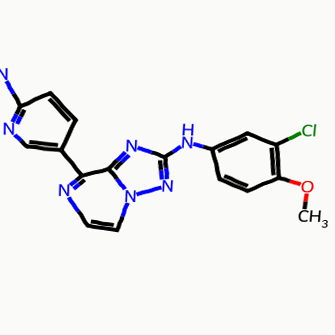 COc1ccc(Nc2nc3c(-c4ccc(N)nc4)nccn3n2)cc1Cl